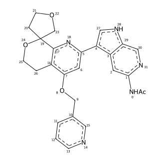 CC(=O)Nc1cc2c(-c3cc(OCc4cccnc4)c4c(n3)C3(CCOC3)OCC4)c[nH]c2cn1